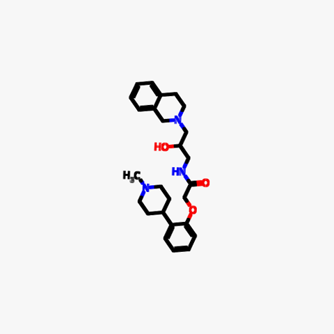 CN1CCC(c2ccccc2OCC(=O)NCC(O)CN2CCc3ccccc3C2)CC1